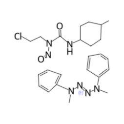 CC1CCC(NC(=O)N(CCCl)N=O)CC1.CN(/N=N/N(C)c1ccccc1)c1ccccc1